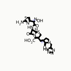 Nc1nc(/C(=N/O)C(=O)N[C@@H]2C(=O)N3C(C(=O)O)=C(/C=C4\CCN(Cc5nnn[nH]5)C4=O)CS[C@H]23)cs1